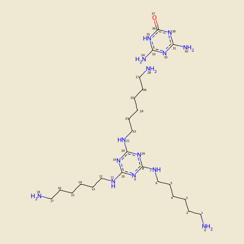 NCCCCCCNc1nc(NCCCCCCN)nc(NCCCCCCN)n1.Nc1nc(N)[nH]c(=O)n1